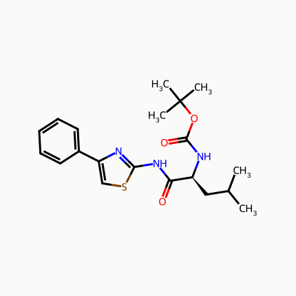 CC(C)C[C@H](NC(=O)OC(C)(C)C)C(=O)Nc1nc(-c2ccccc2)cs1